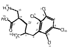 CC(Cc1c(Cl)c(Cl)cc(Cl)c1Cl)CC(CN)C(=O)O